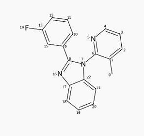 Cc1cccnc1-n1c(-c2cccc(F)c2)nc2ccccc21